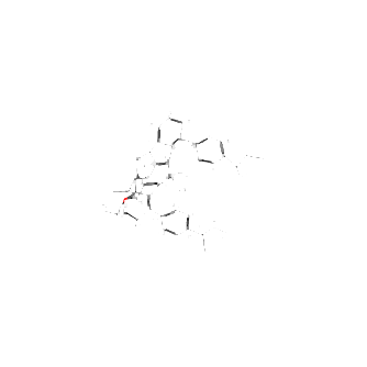 CCCCC1=C2c3c(-c4ccc(C(C)CC)cc4)cccc3[CH]1[Zr][CH]1C(CCCC)=C(c3c(-c4ccc(C(C)CC)cc4)cccc31)[Si]2(C)C